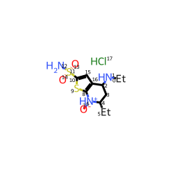 CCNC1CC(CC)[NH+]([O-])c2sc(S(N)(=O)=O)cc21.Cl